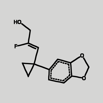 OCC(F)=CC1(c2ccc3c(c2)OCO3)CC1